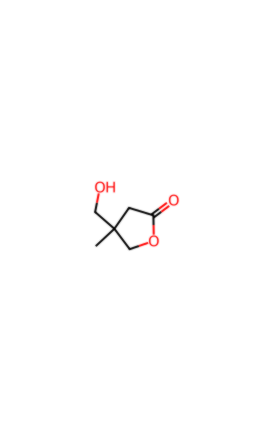 CC1(CO)COC(=O)C1